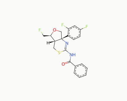 O=C(NC1=N[C@@]2(c3ccc(F)cc3F)CO[C@H](CF)[C@H]2CS1)c1ccccc1